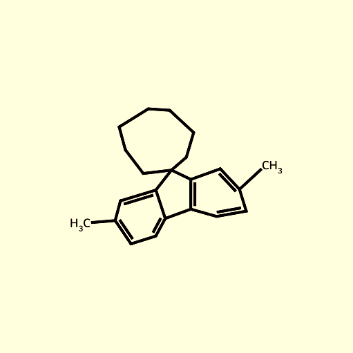 Cc1ccc2c(c1)C1(CCCCCCC1)c1cc(C)ccc1-2